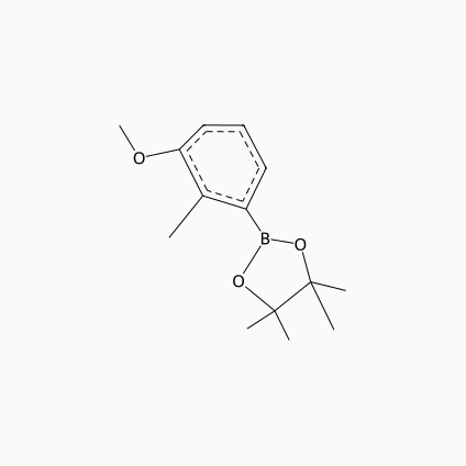 COc1cccc(B2OC(C)(C)C(C)(C)O2)c1C